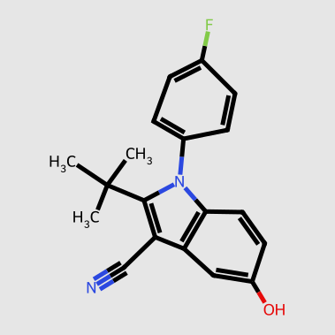 CC(C)(C)c1c(C#N)c2cc(O)ccc2n1-c1ccc(F)cc1